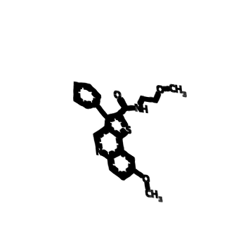 COCCNC(=O)c1sc2c(cnc3ccc(OC)cc32)c1-c1ccccc1